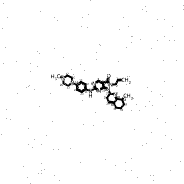 C=CCn1c(=O)c2cnc(Nc3ccc(N4CCN(C)CC4)cc3)nc2n1C1CC=C2CCCC(C)C2=N1